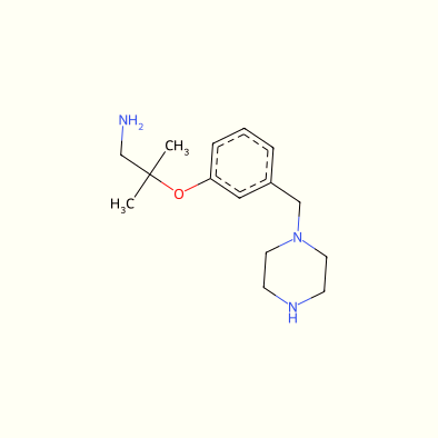 CC(C)(CN)Oc1cccc(CN2CCNCC2)c1